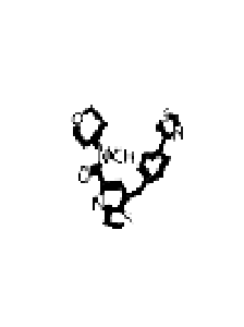 CN(C(=O)c1cc(Cc2ccc(-c3cscn3)cc2)c2sccc2n1)C1CCOCC1